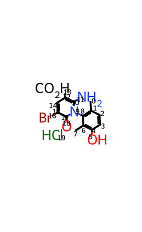 Cc1ccc(O)c(C)c1-n1c(N)c(C(=O)O)cc(Br)c1=O.Cl